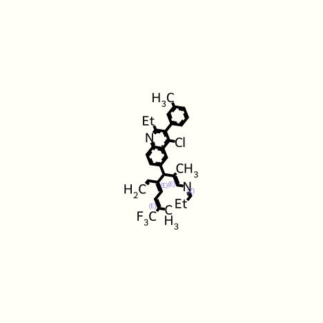 C=C/C(=C\C=C(/C)C(F)(F)F)C(/C(C)=C/N=C\CC)c1ccc2nc(CC)c(-c3cccc(C)c3)c(Cl)c2c1